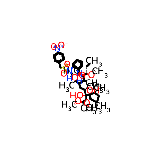 CCC[C@H](OC)[C@H](NC)C(C)C(C[C@@H](C)[C@@](O)(C[C@@H](C)OC)[C@]1(O)C(C)C[C@H](C)[C@@H]1OC)[C@H](C)OC(=O)c1ccccc1NS(=O)(=O)Cc1ccc([N+](=O)[O-])cc1